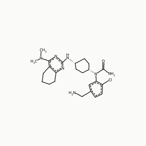 CN(C)c1nc(N[C@H]2CC[C@@H](N(C(N)=O)c3cc(CN)ccc3Cl)CC2)nc2c1CCCC2